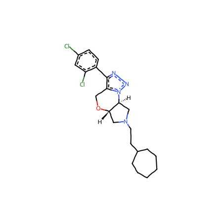 Clc1ccc(-c2nnn3c2CO[C@H]2CN(CCC4CCCCCC4)C[C@@H]23)c(Cl)c1